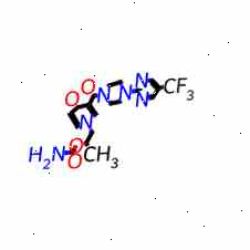 CC(Cn1ccc(=O)c(C(=O)N2CCN(c3ncc(C(F)(F)F)cn3)CC2)c1)OC(N)=O